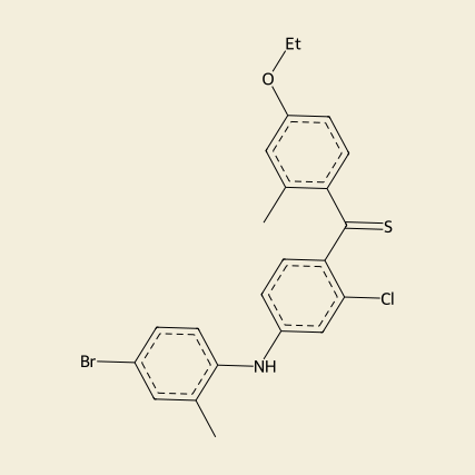 CCOc1ccc(C(=S)c2ccc(Nc3ccc(Br)cc3C)cc2Cl)c(C)c1